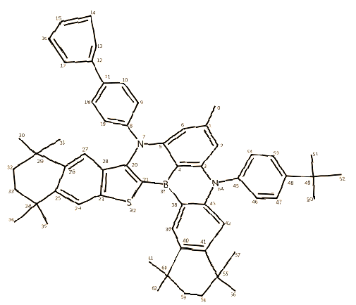 Cc1cc2c3c(c1)N(c1ccc(-c4ccccc4)cc1)c1c(sc4cc5c(cc14)C(C)(C)CCC5(C)C)B3c1cc3c(cc1N2c1ccc(C(C)(C)C)cc1)C(C)(C)CCC3(C)C